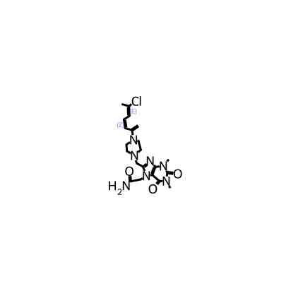 C=C(/C=C\C=C(/C)Cl)N1CCN(Cc2nc3c(c(=O)n(C)c(=O)n3C)n2CC(N)=O)CC1